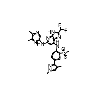 Cc1cn(C)nc1-c1ccc(Nc2cc(Nc3cnc(C)c(C)n3)nc3[nH]c(C(F)F)nc23)c(S(C)(=O)=O)c1